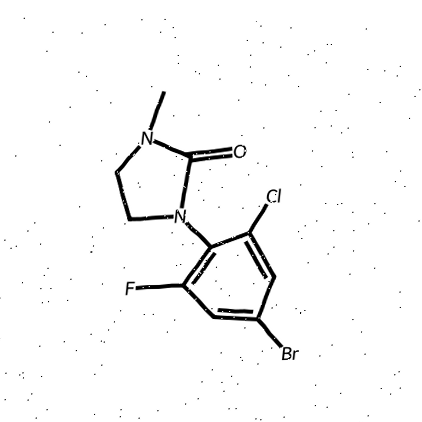 CN1CCN(c2c(F)cc(Br)cc2Cl)C1=O